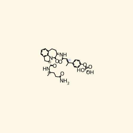 C/C(=C\C(=O)N[C@H]1CCc2cccc3c2N(C1=O)[C@H](C(=O)N[C@H](C)CCC(N)=O)C3)c1ccc(OP(=O)(O)O)cc1